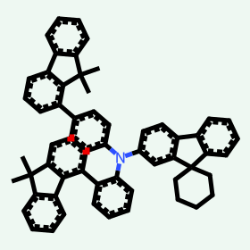 CC1(C)c2ccccc2-c2c(-c3ccccc3N(c3ccc(-c4cccc5c4C(C)(C)c4ccccc4-5)cc3)c3ccc4c(c3)C3(CCCCC3)c3ccccc3-4)cccc21